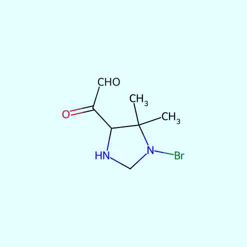 CC1(C)C(C(=O)C=O)NCN1Br